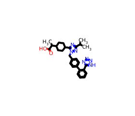 CC(C)c1nc(C2CCC(C(C)C(=O)O)CC2)n(Cc2ccc(-c3ccccc3-c3nnn[nH]3)cc2)n1